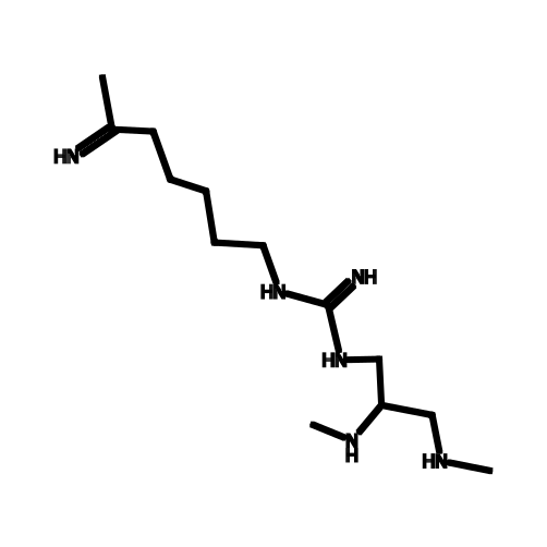 CNCC(CNC(=N)NCCCCCC(C)=N)NC